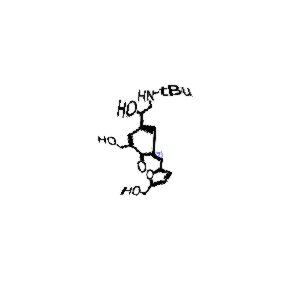 CC(C)(C)NCC(O)C1=C/C(=C/c2ccc(CO)o2)C(=O)C(CO)=C1